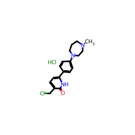 CN1CCCN(c2ccc(-c3ccc(CCl)c(=O)[nH]3)cc2)CC1.Cl